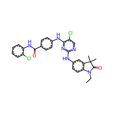 CCN1C(=O)C(C)(C)c2cc(Nc3ncc(Cl)c(Nc4ccc(C(=O)Nc5ccccc5Cl)cc4)n3)ccc21